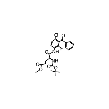 COC(=O)CCC(NC(=O)OC(C)(C)C)C(=O)Nc1ccc(Cl)c(C(=O)c2ccccc2)c1F